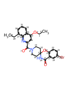 CCOc1cc(C(=O)N2CCC3(CC2)NC(=O)c2cc(Br)ccc2O3)nc2c(CC)cccc12